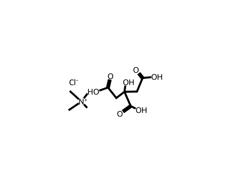 C[N+](C)(C)C.O=C(O)CC(O)(CC(=O)O)C(=O)O.[Cl-]